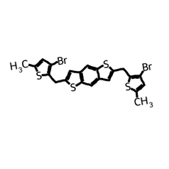 Cc1cc(Br)c(Cc2cc3cc4sc(Cc5sc(C)cc5Br)cc4cc3s2)s1